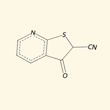 N#CC1Sc2ncccc2C1=O